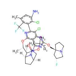 Cc1cc(N)c(Cl)c(-c2nc3c4c(nc(OC[C@@]56CCCN5C[C@H](F)C6)nc4c2Cl)N2C[C@H]4CC[C@@H]([C@H]2[C@H](C)O3)N4C(=O)OC(C)(C)C)c1C(F)(F)F